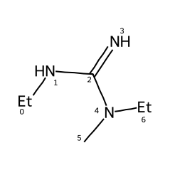 CCNC(=N)N(C)CC